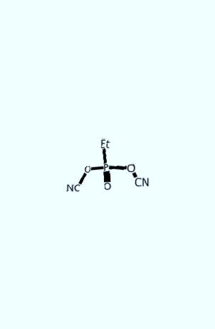 CCP(=O)(OC#N)OC#N